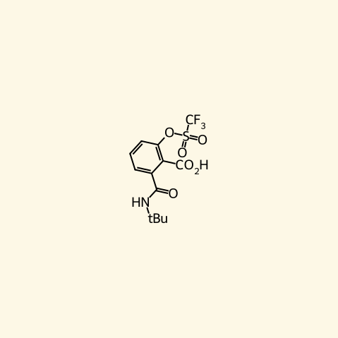 CC(C)(C)NC(=O)c1cccc(OS(=O)(=O)C(F)(F)F)c1C(=O)O